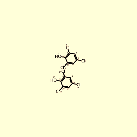 Oc1c(Cl)cc(Cl)cc1Cl.Oc1c(Cl)cc(Cl)cc1Cl